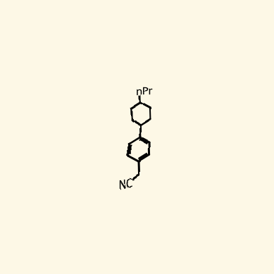 CCCC1CCC(c2ccc(CC#N)cc2)CC1